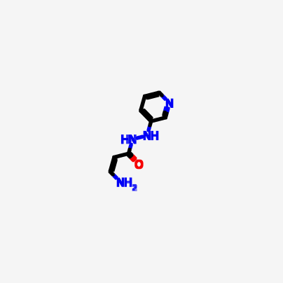 N/C=C\C(=O)NNc1cccnc1